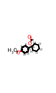 COc1ccc(C2(OC=O)CCCCC2)cc1